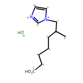 CC(CCCCC(=O)O)Cn1ccnc1.Cl